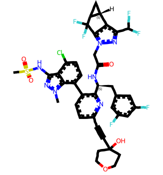 Cn1nc(NS(C)(=O)=O)c2c(Cl)ccc(-c3ccc(C#CC4(O)CCOCC4)nc3[C@H](Cc3cc(F)cc(F)c3)NC(=O)Cn3nc(C(F)F)c4c3C(F)(F)C3C[C@H]43)c21